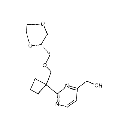 OCc1ccnc(C2(COC[C@H]3COCCO3)CCC2)n1